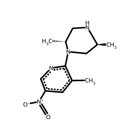 Cc1cc([N+](=O)[O-])cnc1N1C[C@H](C)NC[C@H]1C